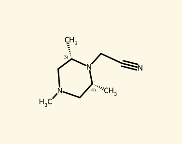 C[C@@H]1CN(C)C[C@H](C)N1CC#N